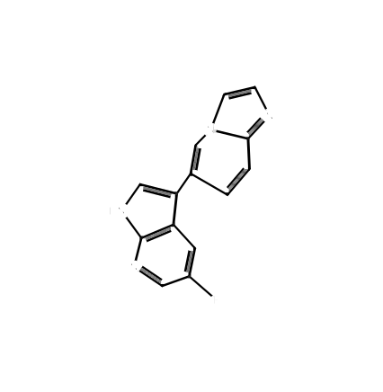 Fc1cnc2[nH]cc(-c3ccc4nccn4c3)c2c1